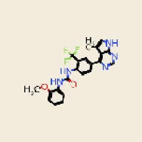 COc1ccccc1NC(=O)Nc1ccc(-c2ncnc3[nH]cc(C)c23)cc1C(F)(F)F